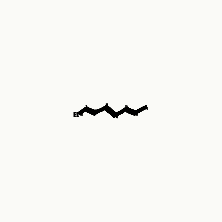 [CH2]CC=CC=CC=CC